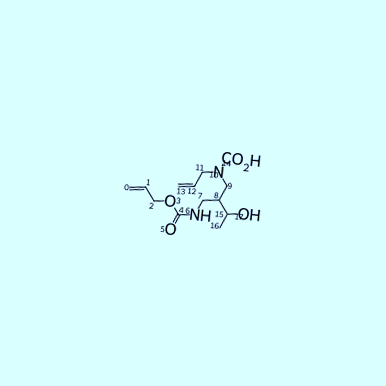 C=CCOC(=O)NCC(CN(CC=C)C(=O)O)C(C)O